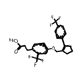 O=C(O)CCc1ccc(OCC2=C(c3ccc(C(F)(F)F)cc3)CCC2)cc1C(F)(F)F